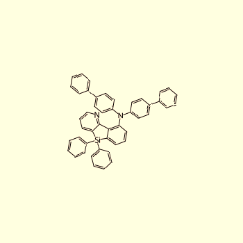 c1ccc(-c2ccc(N(c3ccc(-c4ccccc4)cc3)c3cccc4c3-c3ncccc3[Si]4(c3ccccc3)c3ccccc3)cc2)cc1